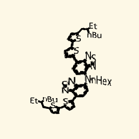 CCCCCCN(c1ccc(-c2ccc(-c3ccc(CC(CC)CCCC)s3)s2)c2nsnc12)c1ccc(-c2ccc(-c3ccc(CC(CC)CCCC)s3)s2)c2nsnc12